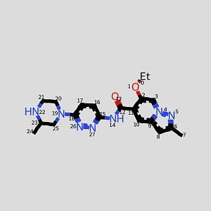 CCOc1cn2nc(C)cc2cc1C(=O)Nc1ccc(N2CCNC(C)C2)nn1